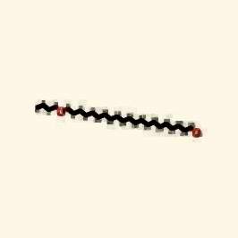 CCCCOCCCCCCCCCCCCCCCCCCCCC=O